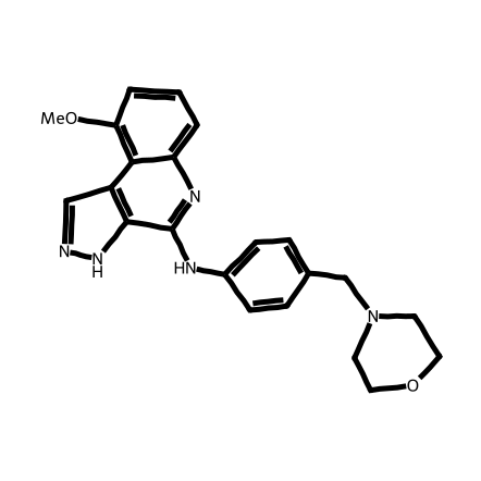 COc1cccc2nc(Nc3ccc(CN4CCOCC4)cc3)c3[nH]ncc3c12